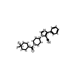 N#Cc1c(-c2ccccc2)ncn1C1CCN(C(=O)C2CCC(F)(F)CC2)CC1